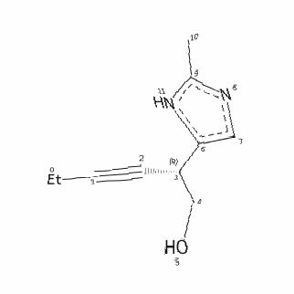 CCC#C[C@@H](CO)c1cnc(C)[nH]1